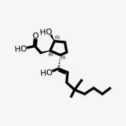 CCCCC(C)(C)CC=C(O)[C@H]1CC[C@H](O)[C@@H]1CC(=O)O